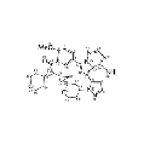 COc1ccc(-c2cc(-c3ccnn3C3CCOCC3)c3c(N)ncnn23)cc1C(=O)N(C1CCOCC1)C1CC1